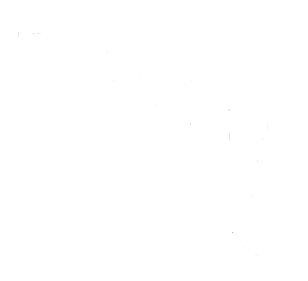 CCCCCCCCCCCCCCOCC(O)COP(=O)(O)OCC(O)CO